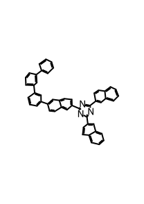 c1ccc(-c2cccc(-c3cccc(-c4ccc5cc(-c6nc(-c7ccc8ccccc8c7)nc(-c7ccc8ccccc8c7)n6)ccc5c4)c3)c2)cc1